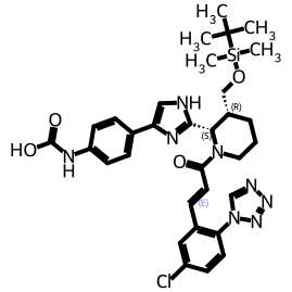 CC(C)(C)[Si](C)(C)OC[C@@H]1CCCN(C(=O)/C=C/c2cc(Cl)ccc2-n2cnnn2)[C@@H]1c1nc(-c2ccc(NC(=O)O)cc2)c[nH]1